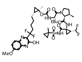 COc1ccc2nc(C(F)(F)CCCC[C@@H]3C[C@@]3(C)OC(=O)N[C@H](C(=O)N3CC[C@@H](C)[C@H]3C(=O)N[C@]3(C(=O)NS(=O)(=O)C4(C)CC4)C[C@H]3C(F)F)C(C)(C)C)c(O)nc2c1